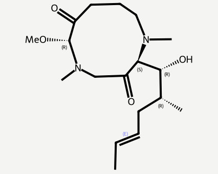 C/C=C/C[C@@H](C)[C@@H](O)[C@H]1C(=O)CN(C)[C@H](OC)C(=O)CCCN1C